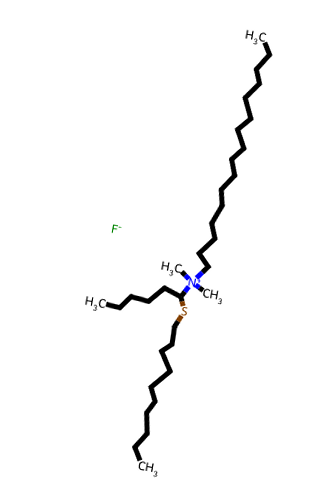 CCCCCCCCCCCCCCCC[N+](C)(C)C(CCCCC)SCCCCCCCCCC.[F-]